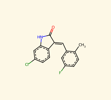 Cc1ccc(F)cc1C=C1C(=O)Nc2cc(Cl)ccc21